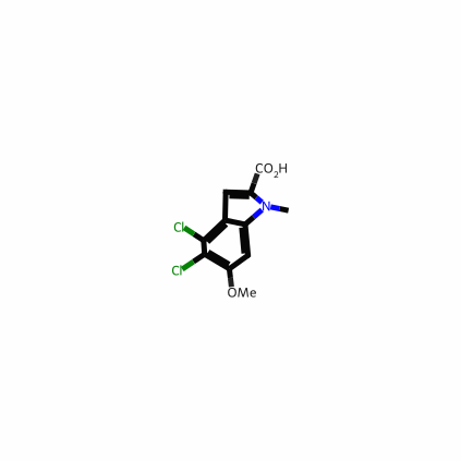 COc1cc2c(cc(C(=O)O)n2C)c(Cl)c1Cl